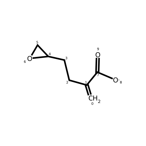 C=C(CCC1CO1)C([O])=O